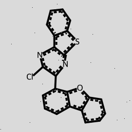 Clc1nc2c(nc1-c1cccc3c1oc1ccccc13)sc1ccccc12